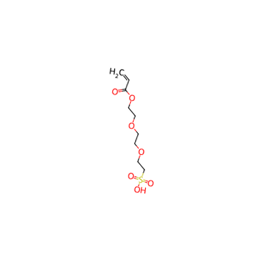 C=CC(=O)OCCOCCOCCS(=O)(=O)O